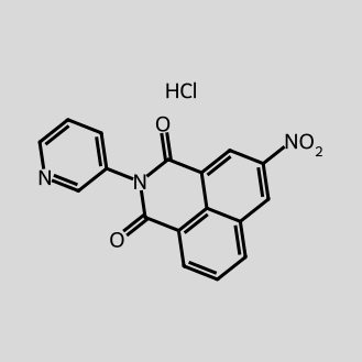 Cl.O=C1c2cccc3cc([N+](=O)[O-])cc(c23)C(=O)N1c1cccnc1